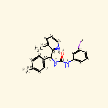 O=C(Nc1cccc(I)c1)NC(c1ccc(C(F)(F)F)cc1)c1ncccc1C(F)(F)F